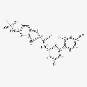 CS(=O)(=O)Nc1ccc2cc(C(=O)Nc3cc(Br)cc(-c4ccc(F)cc4F)c3)[nH]c2c1